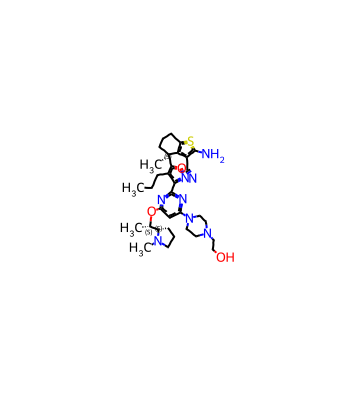 CCCc1c(-c2nc(O[C@@H](C)[C@@H]3CCCN3C)cc(N3CCN(CCO)CC3)n2)noc1[C@@]1(C)CCCc2sc(N)c(C#N)c21